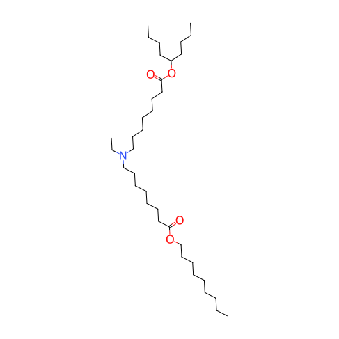 CCCCCCCCCOC(=O)CCCCCCCN(CC)CCCCCCCC(=O)OC(CCCC)CCCC